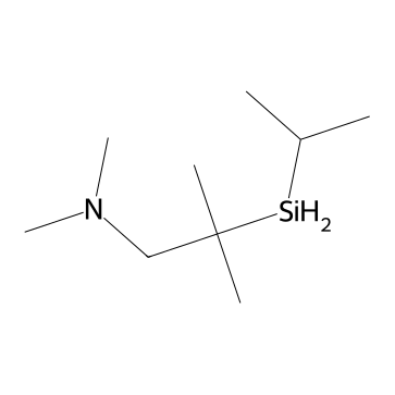 CC(C)[SiH2]C(C)(C)CN(C)C